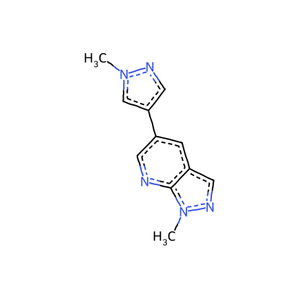 Cn1cc(-c2cnc3c(cnn3C)c2)cn1